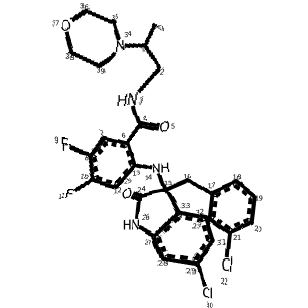 CC(CNC(=O)c1cc(F)c(F)cc1NC1(Cc2cccc(Cl)c2)C(=O)Nc2cc(Cl)ccc21)N1CCOCC1